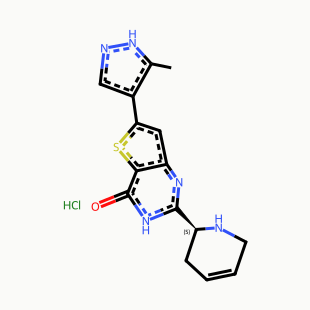 Cc1[nH]ncc1-c1cc2nc([C@@H]3CC=CCN3)[nH]c(=O)c2s1.Cl